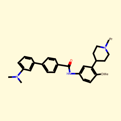 COc1ccc(NC(=O)c2ccc(-c3cccc(N(C)C)c3)cc2)cc1C1CCN(C(C)C)CC1